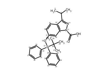 CC(C)c1nn(C(=O)O)c2cc(O[Si](c3ccccc3)(c3ccccc3)C(C)(C)C)ccc12